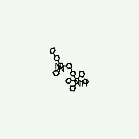 c1ccc(C2=C(c3ccccc3)C(c3ccc(-c4cccc(-c5cc(-c6ccc(-c7ccccc7)cc6)nc(-c6ccccc6)n5)c4)cc3)=C(c3ccccc3)C(c3ccccc3)N2)cc1